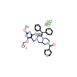 CCOc1nc(OC)c(CN2CC3CN(C(=O)c4ccncc4)CCN3C(C(c3ccccc3)c3ccccc3)C2)c(OCC(F)(F)F)n1.Cl.Cl.Cl